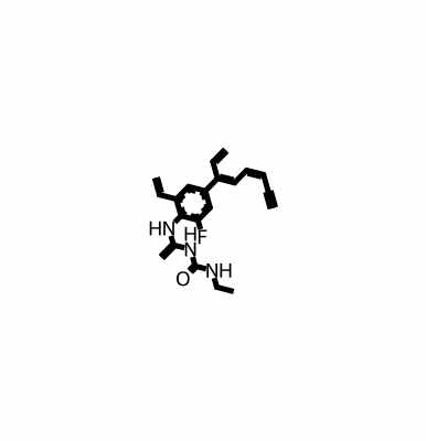 C#C/C=C\C=C(/C=C)c1cc(F)c(NC(=C)NC(=O)NCC)c(C=C)c1